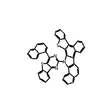 c1ccc2c(-c3nc(-n4c5c6ccccc6ccc5c5c6ccccc6c6c7ccccc7sc6c54)nc4c3sc3ccccc34)cccc2c1